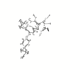 CCC(CC)N(C(CC)CC)[C@H](CO)c1cc(-c2ccc(C(F)(F)F)cc2)nc(C(F)(F)F)c1